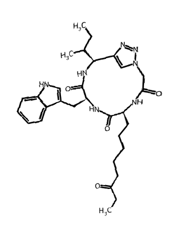 CCC(=O)CCCCC[C@@H]1NC(=O)Cn2cc(nn2)[C@H](C(C)CC)NC(=O)[C@H](Cc2c[nH]c3ccccc23)NC1=O